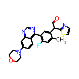 Cc1cc(F)c(-c2ncnc3cc(N4CCOCC4)ccc23)cc1C(C=O)c1nccs1